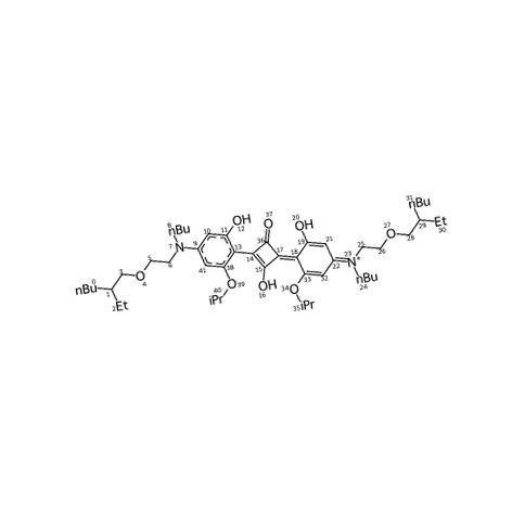 CCCCC(CC)COCCN(CCCC)c1cc(O)c(C2=C(O)/C(=C3C(O)=C/C(=[N+](/CCCC)CCOCC(CC)CCCC)C=C/3OC(C)C)C2=O)c(OC(C)C)c1